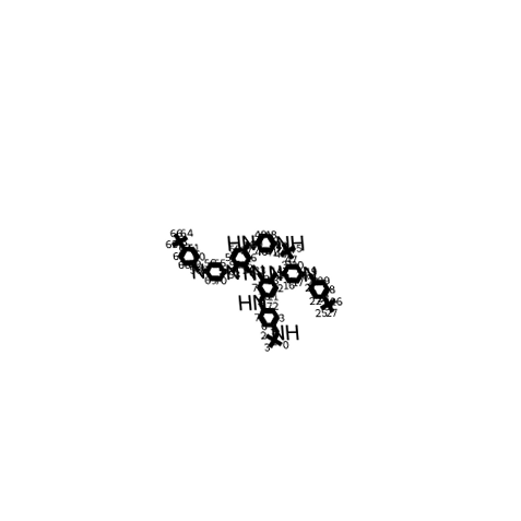 CC(C)(C)Nc1ccc(Nc2ccc(N=C3C=CC(=Nc4ccc(C(C)(C)C)cc4)C=C3)c(/N=N/c3cc(Nc4ccc(NC(C)(C)C)cc4)ccc3N=C3C=CC(=Nc4ccc(C(C)(C)C)cc4)C=C3)c2)cc1